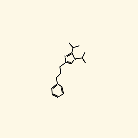 CC(C)c1nc(CCCc2ccccc2)cn1C(C)C